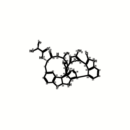 CC(C)[C@H](O)C(=O)N[C@H]1Cc2ccc3c(c2)C24c5cccc(c5NC2O3)-c2cccc3[nH]c(Cl)c(c23)-c2oc(nc2P)-c2nc(oc24)[C@H](C(C)C)NC1=O